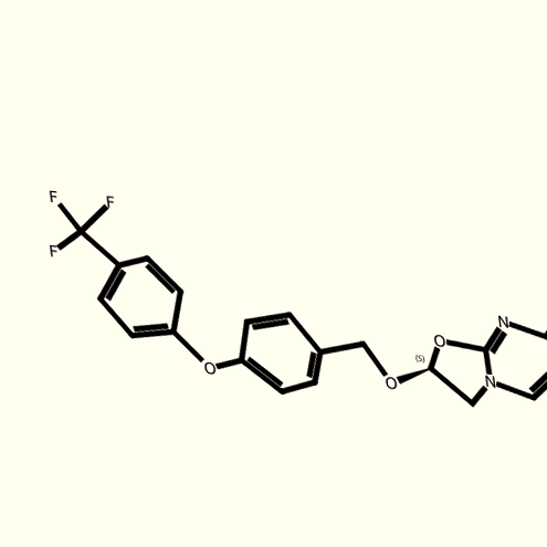 O=c1ccn2c(n1)O[C@H](OCc1ccc(Oc3ccc(C(F)(F)F)cc3)cc1)C2